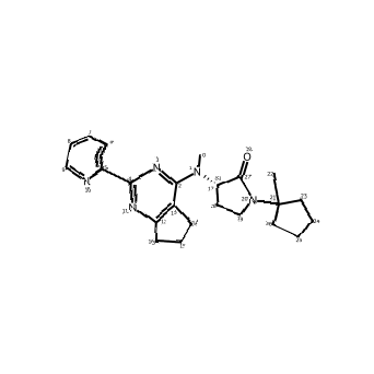 CN(c1nc(-c2ccccn2)nc2c1CCC2)[C@H]1CCN(C2(C)CCCC2)C1=O